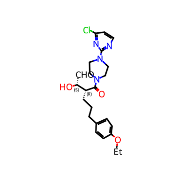 CCOc1ccc(CCC[C@@H](C(=O)N2CCN(c3nccc(Cl)n3)CC2)[C@H](O)C=O)cc1